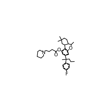 CCCC(C)(c1ccc(F)cc1)c1cc(OC(=O)CCCN2CCCCC2)c2c(c1)OC(C)C1CCC(C)(C)CC21